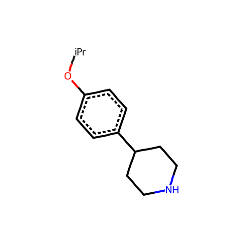 CC(C)Oc1ccc(C2CCNCC2)cc1